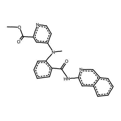 COC(=O)c1cc(N(C)c2ccccc2C(=O)Nc2cc3ccccc3cn2)ccn1